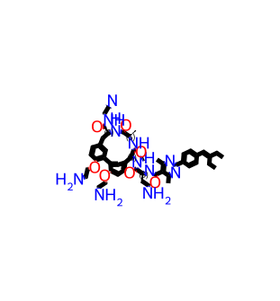 CCC(=Cc1ccc(-c2nc(C)c(C(=O)N[C@@H](CCN)C(=O)N(C)[C@@H]3C(=O)N[C@@H](C)C(=O)N[C@H](C(=O)NCC#N)Cc4ccc(OCCN)c(c4)-c4cc3ccc4OCCN)c(C)n2)cc1)CC